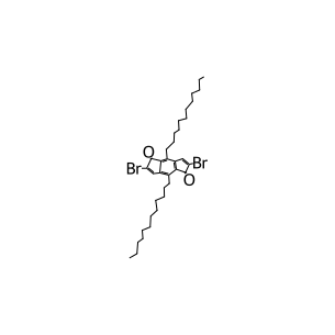 CCCCCCCCCCCCc1c2cc(Br)c(=O)c2c(CCCCCCCCCCCC)c2cc(Br)c(=O)c12